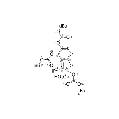 CCC(C)OC(=O)Oc1ccc(C[C@](NC(C)C)(OC(=O)OC(C)(C)C)C(=O)O)cc1OC(=O)OC(C)CC